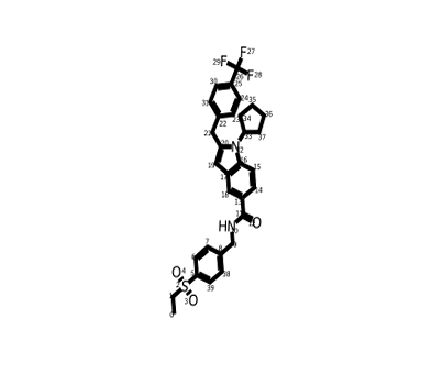 CCS(=O)(=O)c1ccc(CNC(=O)c2ccc3c(c2)cc(Cc2ccc(C(F)(F)F)cc2)n3C2CCCC2)cc1